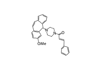 COc1ccc2c(c1)C(N1CCN(C(=O)C=Cc3ccccc3)CC1)c1ccccc1C=C2